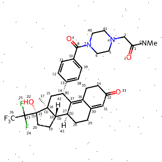 CNC(=O)CN1CCN(C(=O)c2ccc([C@H]3C[C@@]4(C)[C@@H](CC[C@@]4(O)C(F)(F)C(F)(F)F)[C@@H]4CCC5=CC(=O)CCC5=C43)cc2)CC1